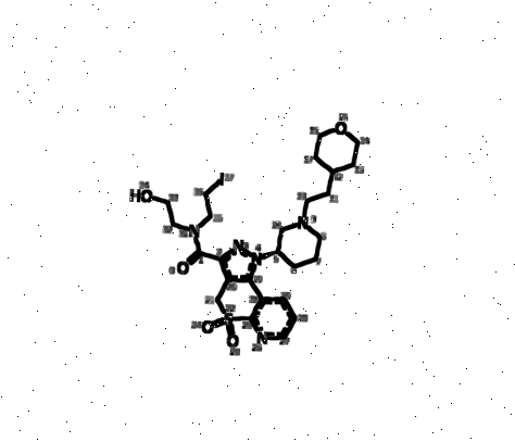 O=C(c1nn([C@@H]2CCCN(CCC3CCOCC3)C2)c2c1CS(=O)(=O)c1ncccc1-2)N(CCO)CCI